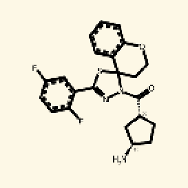 N[C@@H]1CC[C@@H](C(=O)N2N=C(c3cc(F)ccc3F)SC23CCOc2ccccc23)C1